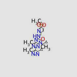 CCS(=O)(=O)c1ccc(CNc2nc3c(C)nc(-c4c(C)ncnc4C4CC4)nc3n([C@@H](C)C3CC3)c2=O)nc1